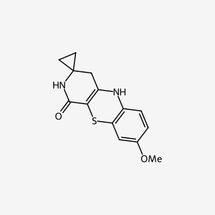 COc1ccc2c(c1)SC1=C(CC3(CC3)NC1=O)N2